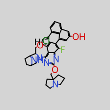 C#Cc1cccc2cc(O)cc(-c3c(Cl)c4c5c(nc(OCC67CCCN6CCC7)nc5c3F)N3CC5CCC(N5)C3CO4)c12